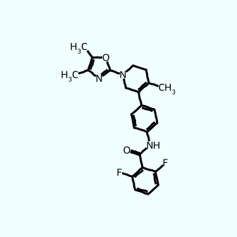 CC1=C(c2ccc(NC(=O)c3c(F)cccc3F)cc2)CN(c2nc(C)c(C)o2)CC1